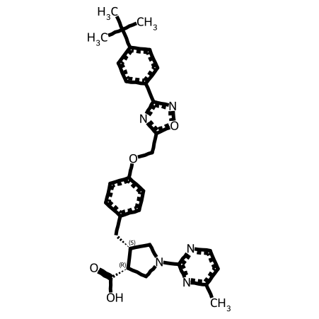 Cc1ccnc(N2C[C@@H](Cc3ccc(OCc4nc(-c5ccc(C(C)(C)C)cc5)no4)cc3)[C@@H](C(=O)O)C2)n1